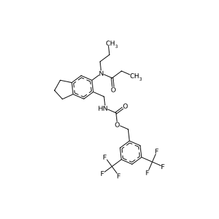 CCCN(C(=O)CC)c1cc2c(cc1CNC(=O)OCc1cc(C(F)(F)F)cc(C(F)(F)F)c1)CCC2